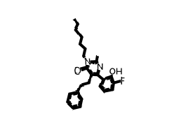 CCCCCCCn1c(C)nc(-c2cccc(F)c2O)c(CCc2ccccc2)c1=O